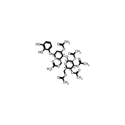 CC(=O)OC[C@H]1O[C@@H](Oc2cccc(O)c2O)C[C@@H](OC(C)=O)[C@@H]1O[C@@H]1O[C@H](COC(C)=O)[C@H](OC(C)=O)[C@H](OC(C)=O)[C@H]1OC(C)=O